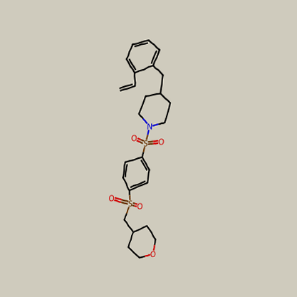 C=Cc1ccccc1CC1CCN(S(=O)(=O)c2ccc(S(=O)(=O)CC3CCOCC3)cc2)CC1